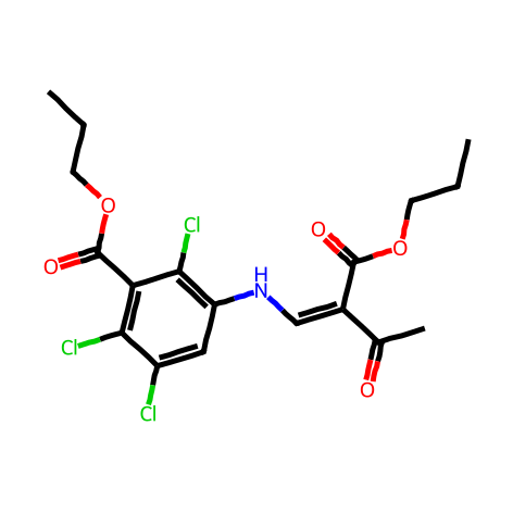 CCCOC(=O)C(=CNc1cc(Cl)c(Cl)c(C(=O)OCCC)c1Cl)C(C)=O